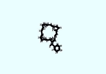 CC(C1=CC2=CC3=NC(=CC4=NC(=CC5=NC(=CC1=N2)C=C5)C=C4)C=C3)c1ccccc1